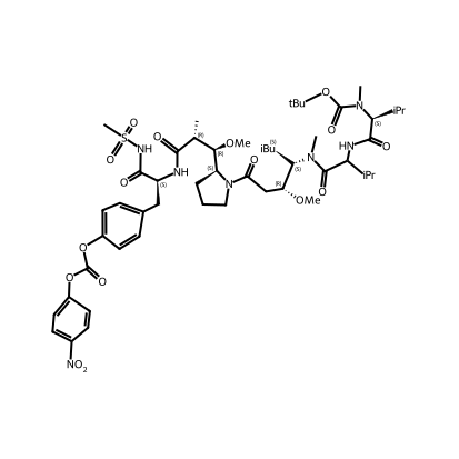 CC[C@H](C)[C@@H]([C@@H](CC(=O)N1CCC[C@H]1[C@H](OC)[C@@H](C)C(=O)N[C@@H](Cc1ccc(OC(=O)Oc2ccc([N+](=O)[O-])cc2)cc1)C(=O)NS(C)(=O)=O)OC)N(C)C(=O)C(NC(=O)[C@H](C(C)C)N(C)C(=O)OC(C)(C)C)C(C)C